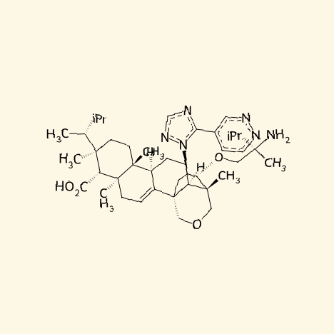 CC(C)[C@@H](C)[C@@]1(C)CC[C@]2(C)[C@H]3CC[C@@H]4[C@@]5(COC[C@@]4(C)[C@@H](OC[C@](C)(N)C(C)C)[C@H](n4ncnc4-c4ccnnc4)C5)C3=CC[C@@]2(C)[C@@H]1C(=O)O